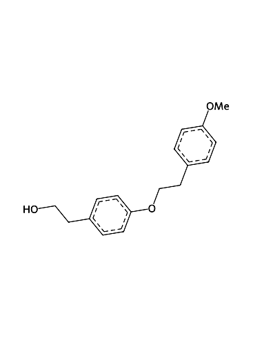 COc1ccc(CCOc2ccc(CCO)cc2)cc1